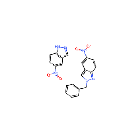 O=[N+]([O-])c1ccc2[nH]ncc2c1.O=[N+]([O-])c1ccc2nn(Cc3ccccc3)cc2c1